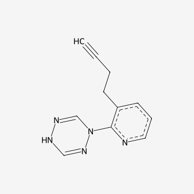 C#CCCc1cccnc1N1C=NNC=N1